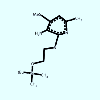 CSc1cc(C)nc(SCCO[Si](C)(C)C(C)(C)C)c1N